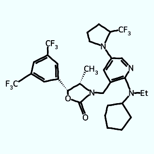 CCN(c1ncc(N2CCCC2C(F)(F)F)cc1CN1C(=O)O[C@H](c2cc(C(F)(F)F)cc(C(F)(F)F)c2)[C@@H]1C)C1CCCCC1